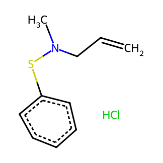 C=CCN(C)Sc1ccccc1.Cl